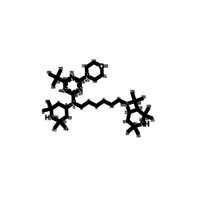 CC1(C)CC(N(CCCCCCN2C3CC(C)(C)NC(C)(C)C3C2(C)C)c2nc(N3CCOCC3)nc(C(C)(C)C)n2)CC(C)(C)N1